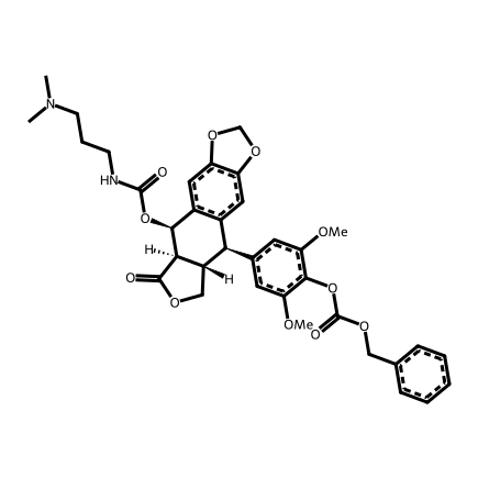 COc1cc([C@@H]2c3cc4c(cc3[C@H](OC(=O)NCCCN(C)C)[C@@H]3C(=O)OC[C@@H]23)OCO4)cc(OC)c1OC(=O)OCc1ccccc1